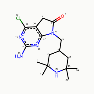 CC1(C)CC(CN2C(=O)Cc3c(Cl)nc(N)nc32)CC(C)(C)N1